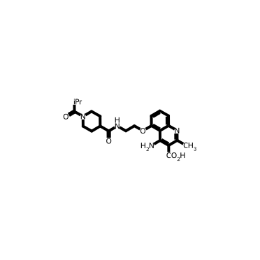 Cc1nc2cccc(OCCNC(=O)C3CCN(C(=O)C(C)C)CC3)c2c(N)c1C(=O)O